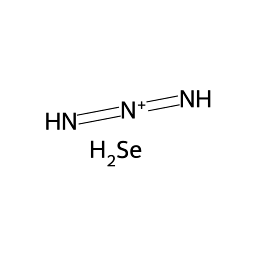 N=[N+]=N.[SeH2]